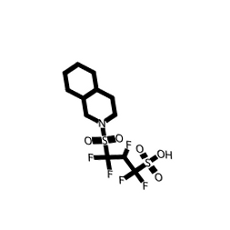 O=S(=O)(O)C(F)(F)C(F)C(F)(F)S(=O)(=O)N1CCC2CCCCC2C1